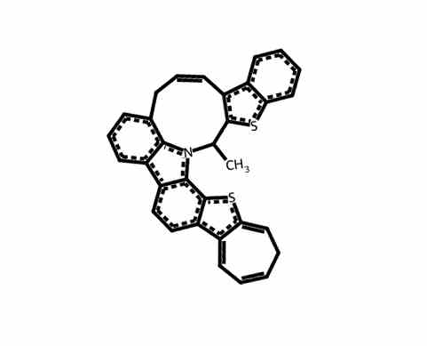 CC1c2sc3ccccc3c2/C=C\Cc2cccc3c4ccc5c6c(sc5c4n1c23)=CCC=CC=6